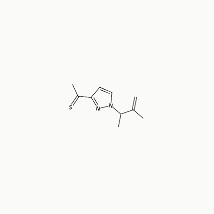 C=C(C)C(C)n1ccc(C(C)=S)n1